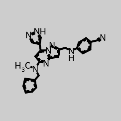 CN(Cc1ccccc1)c1cc(-c2cn[nH]c2)n2nc(CNc3ccc(C#N)cc3)cc2n1